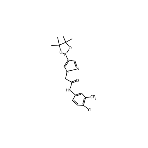 CC1(C)OB(c2cnn(CC(=O)Nc3ccc(Cl)c(C(F)(F)F)c3)c2)OC1(C)C